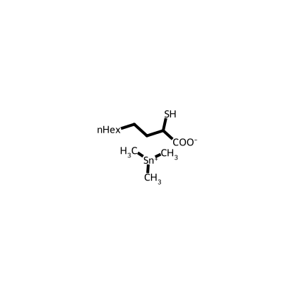 CCCCCCCCC(S)C(=O)[O-].[CH3][Sn+]([CH3])[CH3]